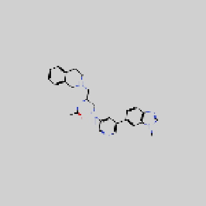 CC(=O)NC(CNc1cncc(-c2ccc3ncn(C)c3c2)c1)CN1CCc2ccccc2C1